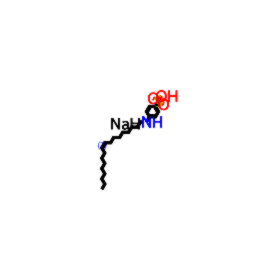 CCCCCCCC/C=C\CCCCCCCCNc1ccc(S(=O)(=O)O)cc1.[NaH]